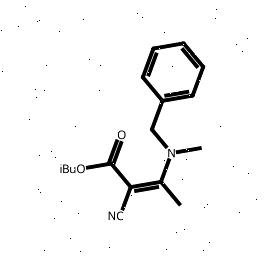 CC(=C(C#N)C(=O)OCC(C)C)N(C)Cc1ccccc1